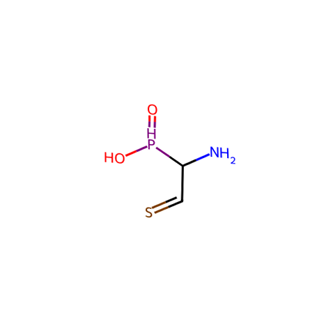 NC(C=S)[PH](=O)O